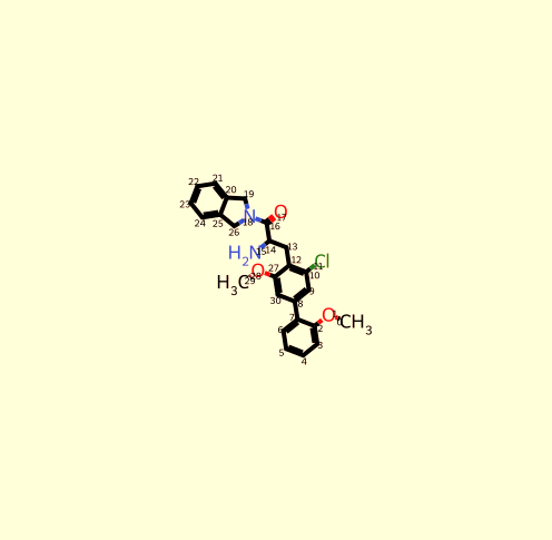 COc1ccccc1-c1cc(Cl)c(CC(N)C(=O)N2Cc3ccccc3C2)c(OC)c1